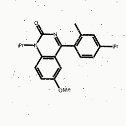 COc1ccc2c(c1)c(-c1ccc(C(C)C)cc1C)nc(=O)n2C(C)C